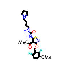 COC(=O)c1c(OCc2c(F)ccc(OC)c2F)nsc1NC(=O)NCCCCN1CCCC1